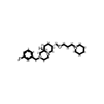 Fc1cccc(CN2CCN3C[C@@H](COCCCN4CCCCC4)CC[C@H]3C2)c1